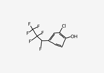 Oc1ccc(C(F)C(F)(F)C(F)(F)F)cc1Cl